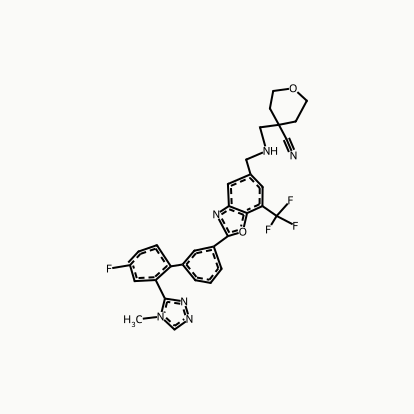 Cn1cnnc1-c1cc(F)ccc1-c1cccc(-c2nc3cc(CNCC4(C#N)CCOCC4)cc(C(F)(F)F)c3o2)c1